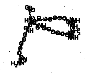 Nc1nc2c(c(OCc3ccc(COCCOCCOCCOCCNC(=O)CCOCC(COCCC(=O)CCCOCCOCCOCCOCc4ccc(COc5nc(N)nc6[nH]cnc56)cc4)(COCCC(=O)NCCOCCOCCOCCOCc4ccc(COc5nc(N)nc6[nH]cnc56)cc4)NC(=O)CCCCCN4C(=O)C=CC4=O)cc3)n1)N=CC2